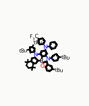 CC(C)(C)c1ccc(N2c3cc(N(c4ccccc4)c4ccc(C(F)(F)F)cc4)cc4c3B(c3cc5c(cc3N4c3cc(C(C)(C)C)cc(C(C)(C)C)c3)C(C)(C)CCC5(C)C)c3oc4ccc(C(C)(C)C)cc4c32)cc1